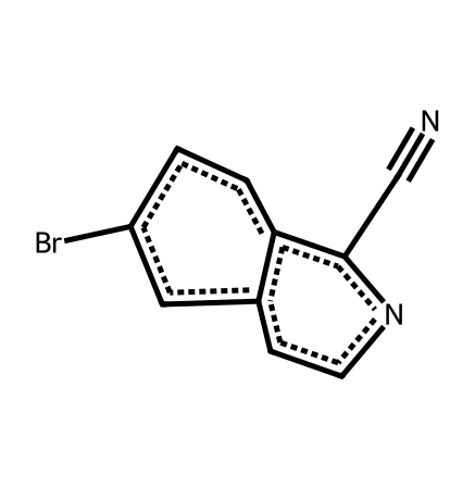 N#Cc1nccc2cc(Br)ccc12